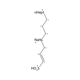 CCCCCCCCCCCCC=CS(=O)(=O)O.[NaH]